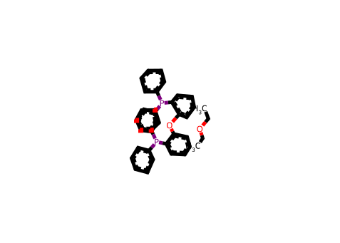 CCOCC.c1ccc(P(c2ccccc2)c2ccccc2Oc2ccccc2P(c2ccccc2)c2ccccc2)cc1